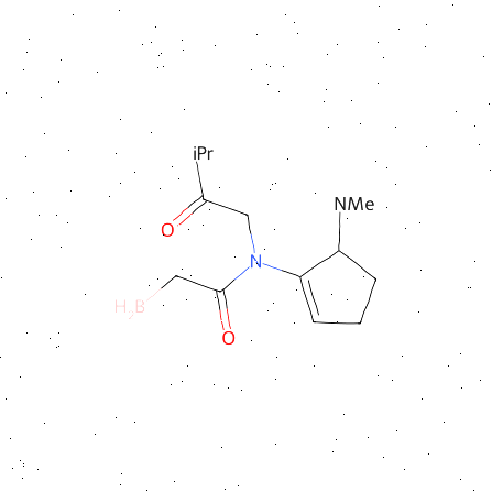 BCC(=O)N(CC(=O)C(C)C)C1=CCCC1NC